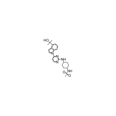 CC(C)(O)c1cccc2c1ccn2-c1ccnc(NC2CCC(NS(C)(=O)=O)CC2)n1